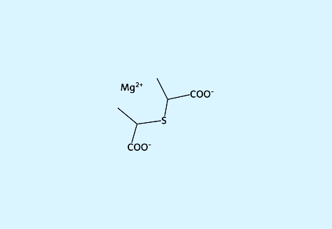 CC(SC(C)C(=O)[O-])C(=O)[O-].[Mg+2]